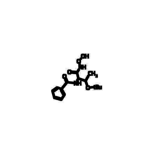 CC(OC(C)(C)C)C(NC(=O)c1ccccc1)C(=O)NOO